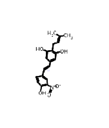 CC(C)=CCc1c(O)cc(/C=C/c2ccc(O)c([N+](=O)[O-])c2)cc1O